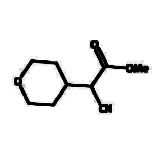 COC(=O)C(C#N)C1CCOCC1